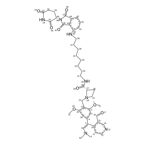 COc1cc(/C(=C/N(C)C)c2ccncc2C=O)cc(OC)c1CN1CC[C@H]1C(=O)NCCCCCCCCNc1cccc2c1C(=O)N([C@H]1CCC(=O)NC1=O)C2=O